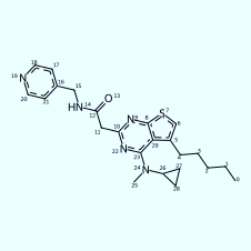 CCCCCc1csc2nc(CC(=O)NCc3ccncc3)nc(N(C)C3CC3)c12